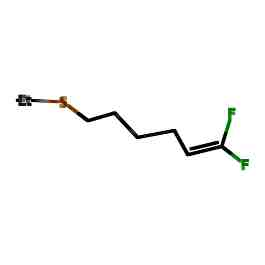 C[CH]SCCCCC=C(F)F